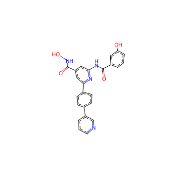 O=C(NO)c1cc(NC(=O)c2cccc(O)c2)nc(-c2ccc(-c3cccnc3)cc2)c1